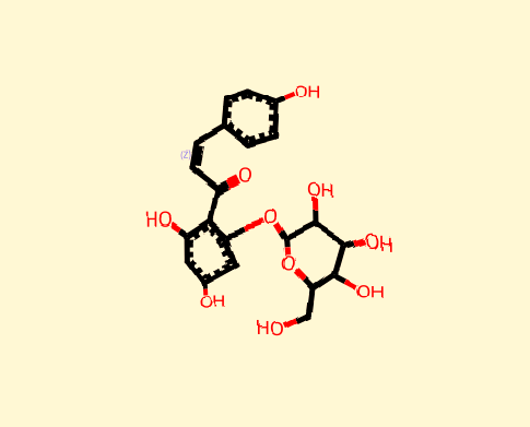 O=C(/C=C\c1ccc(O)cc1)c1c(O)cc(O)cc1OC1OC(CO)C(O)C(O)C1O